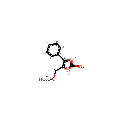 O=C(O)OCc1oc(=O)oc1-c1ccccc1